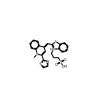 CN1C(c2nccs2)=C/C(=C\C2=[PH](CCCS(=O)(=O)O)c3ccccc3S2)c2ccccc21